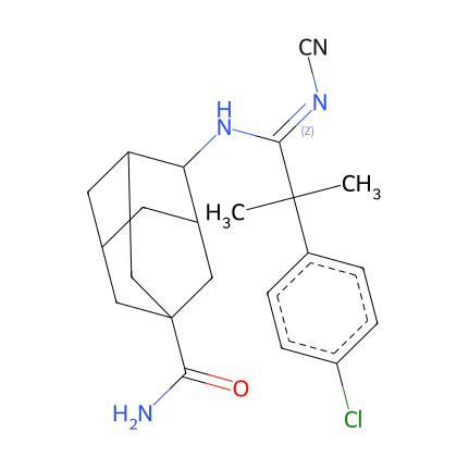 CC(C)(/C(=N/C#N)NC1C2CC3CC1CC(C(N)=O)(C3)C2)c1ccc(Cl)cc1